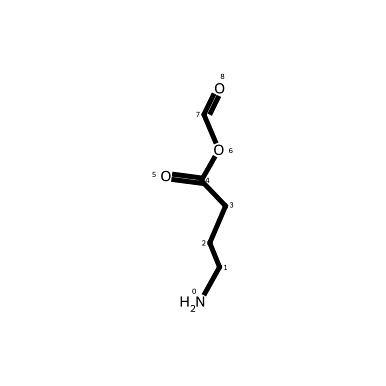 NCCCC(=O)OC=O